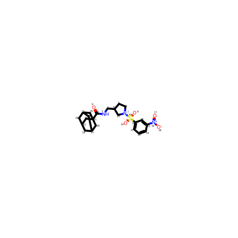 O=C(NCC1CCN(S(=O)(=O)c2cccc([N+](=O)[O-])c2)C1)C12CC3CC(CC(C3)C1)C2